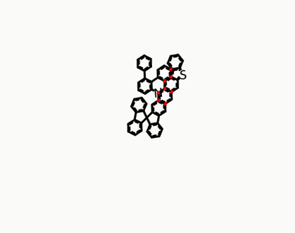 c1ccc(-c2ccccc2-c2c(-c3ccccc3)cccc2N(c2ccc3c(c2)C2(c4ccccc4-c4ccccc42)c2ccccc2-3)c2ccc3sc4ccccc4c3c2)cc1